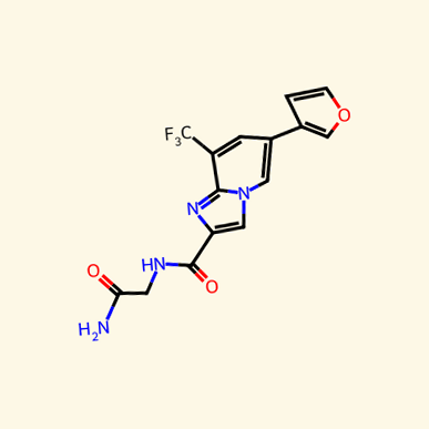 NC(=O)CNC(=O)c1cn2cc(-c3ccoc3)cc(C(F)(F)F)c2n1